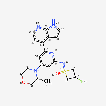 C[C@@H]1COCCN1c1cc(N=S2(=O)CC(F)C2)nc(-c2ccnc3[nH]ccc23)c1